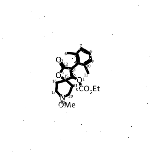 CCOC(=O)OC1=C(c2c(C)cccc2C)C(=O)OC12CCN(OC)CC2